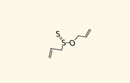 C=CCOS(=S)CC=C